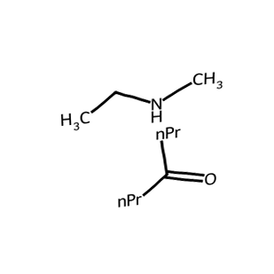 CCCC(=O)CCC.CCNC